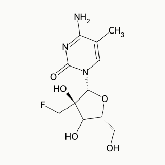 Cc1cn([C@@H]2O[C@H](CO)C(O)[C@]2(O)CF)c(=O)nc1N